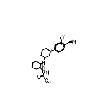 N#Cc1ccc(N2CCCC(NC3CCCCC3NC(=O)O)C2)cc1Cl